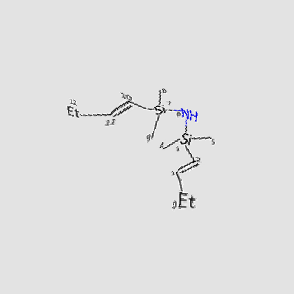 CCC=C[Si](C)(C)N[Si](C)(C)C=CCC